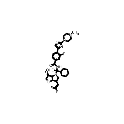 CN1CCN(c2nc(-c3ccc(C(=O)NC(C=O)(C4CCCCC4)N4CC(C=C(F)F)C5OCC(=O)C54)cc3F)cs2)CC1